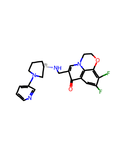 O=c1c(CN[C@H]2CCCN(c3cccnc3)C2)cn2c3c(c(F)c(F)cc13)OCC2